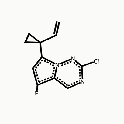 C=CC1(c2cc(F)c3cnc(Cl)nn23)CC1